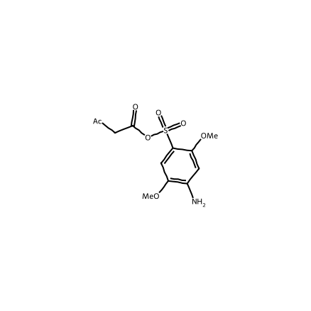 COc1cc(S(=O)(=O)OC(=O)CC(C)=O)c(OC)cc1N